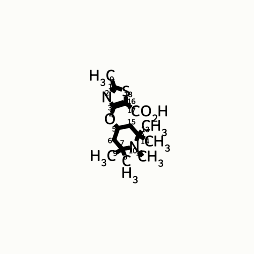 Cc1nc(OC2CC(C)(C)N(C)C(C)(C)C2)c(C(=O)O)s1